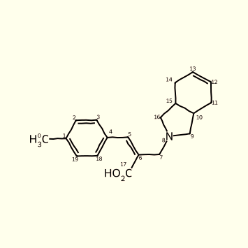 Cc1ccc(C=C(CN2CC3CC=CCC3C2)C(=O)O)cc1